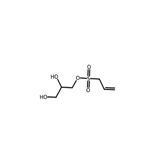 C=CCS(=O)(=O)OCC(O)CO